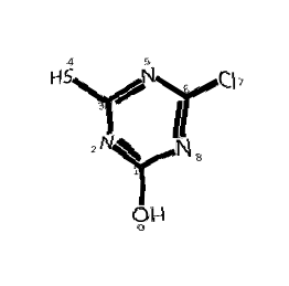 Oc1nc(S)nc(Cl)n1